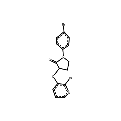 O=C1C(Oc2cccnc2Br)CCN1c1ccc(Br)cc1